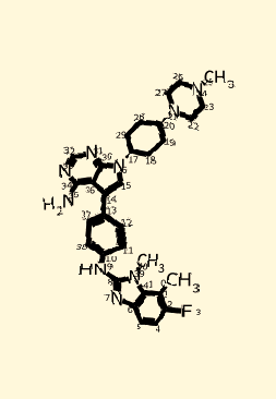 Cc1c(F)ccc2nc(Nc3ccc(-c4cn([C@H]5CC[C@@H](N6CCN(C)CC6)CC5)c5ncnc(N)c45)cc3)n(C)c12